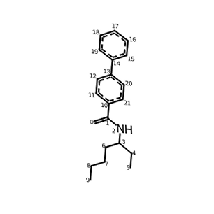 C=C(NC(CC)CCCC)c1ccc(-c2ccccc2)cc1